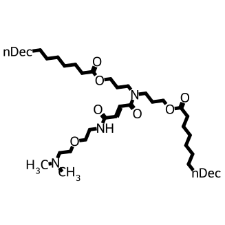 CCCCCCCCCCCCCCCCC(=O)OCCCN(CCCOC(=O)CCCCCCCCCCCCCCCC)C(=O)C=CC(=O)NCCOCCN(C)C